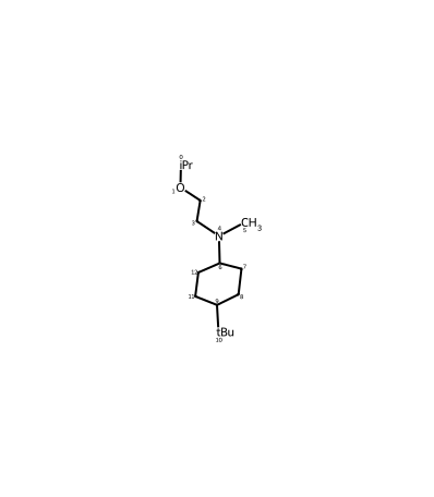 CC(C)OCCN(C)C1CCC(C(C)(C)C)CC1